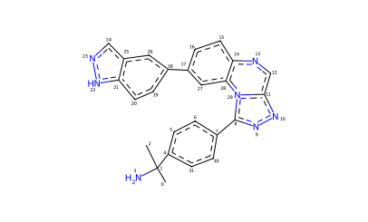 CC(C)(N)c1ccc(-c2nnc3cnc4ccc(-c5ccc6[nH]ncc6c5)cc4n23)cc1